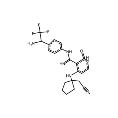 N#CCC1(Nc2cc[nH]c(=O)c2C(=N)Nc2ccc(C(N)C(F)(F)F)cc2)CCCC1